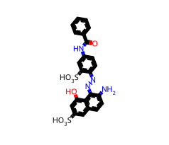 Nc1ccc2cc(S(=O)(=O)O)cc(O)c2c1N=Nc1ccc(NC(=O)c2ccccc2)cc1S(=O)(=O)O